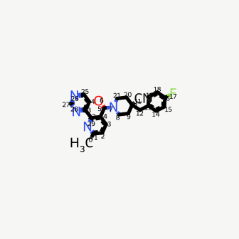 Cc1ccc(C(=O)N2CCC(C#N)(Cc3ccc(F)cc3)CC2)c(-c2ccncn2)n1